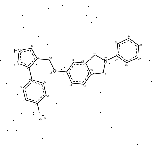 FC(F)(F)c1ccc(-c2n[nH]cc2COc2ccc3c(c2)CN(c2ccccc2)C3)cc1